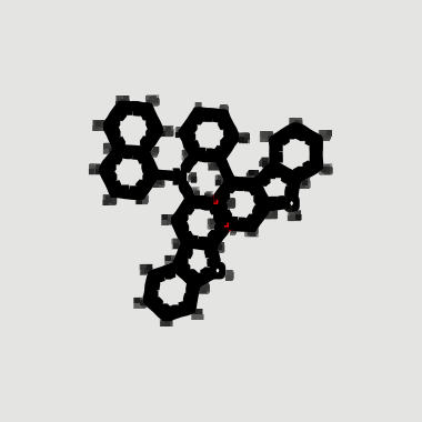 c1ccc(N(c2ccc3oc4ccccc4c3c2)c2cccc3ccccc23)c(-c2cccc3oc4ccccc4c23)c1